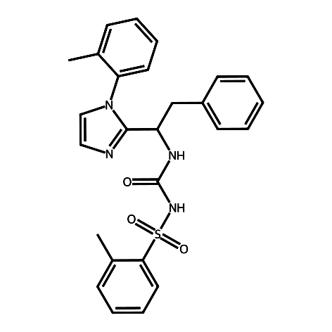 Cc1ccccc1-n1ccnc1C(Cc1ccccc1)NC(=O)NS(=O)(=O)c1ccccc1C